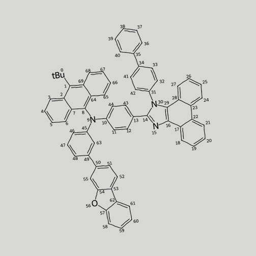 CC(C)(C)c1c2ccccc2c(N(c2ccc(-c3nc4c5ccccc5c5ccccc5c4n3-c3ccc(-c4ccccc4)cc3)cc2)c2cccc(-c3ccc4c(c3)oc3ccccc34)c2)c2ccccc12